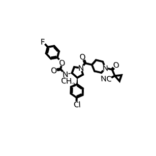 CN(C(=O)Oc1ccc(F)cc1)[C@@H]1CN(C(=O)C2CCN(C(=O)C3(C#N)CC3)CC2)C[C@H]1c1ccc(Cl)cc1